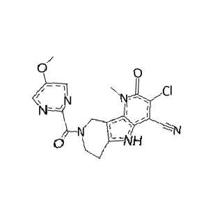 COc1cnc(C(=O)N2CCc3[nH]c4c(C#N)c(Cl)c(=O)n(C)c4c3C2)nc1